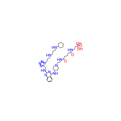 O=C(CCCC(=O)NCCP(=O)(O)O)NCCN1CCC(Nc2nc(NCc3nnnn3CCCNCCCNC3CCCCC3)nc3ccccc23)CC1